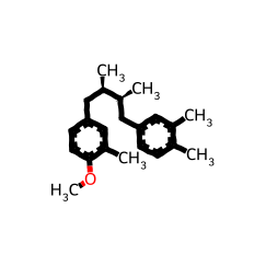 COc1ccc(C[C@@H](C)[C@@H](C)Cc2ccc(C)c(C)c2)cc1C